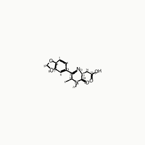 CC1C(c2ccc3c(c2)OCO3)=N[C@@H](CC(=O)O)C(=O)N1C